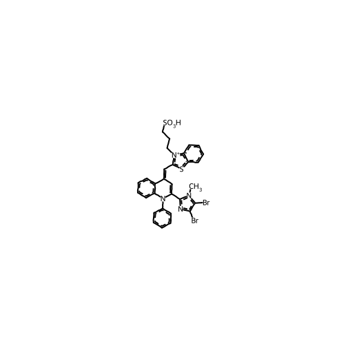 Cn1c(C2=C/C(=C\c3sc4ccccc4[n+]3CCCS(=O)(=O)O)c3ccccc3N2c2ccccc2)nc(Br)c1Br